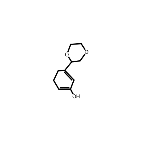 OC1=CCCC(C2COCCO2)=C1